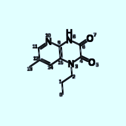 CCCn1c(=O)c(=O)[nH]c2ncc(C)cc21